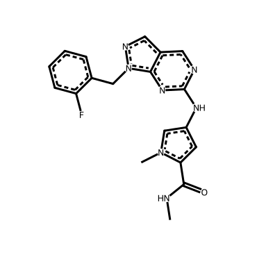 CNC(=O)c1cc(Nc2ncc3cnn(Cc4ccccc4F)c3n2)cn1C